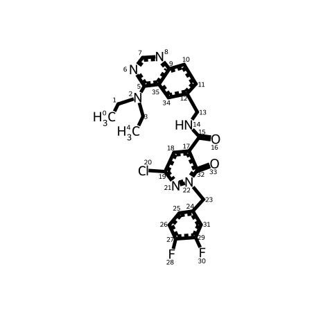 CCN(CC)c1ncnc2ccc(CNC(=O)c3cc(Cl)nn(Cc4ccc(F)c(F)c4)c3=O)cc12